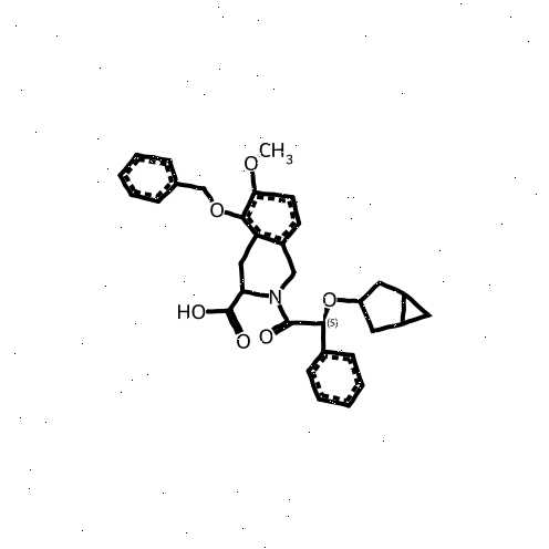 COc1ccc2c(c1OCc1ccccc1)CC(C(=O)O)N(C(=O)[C@@H](OC1CC3CC3C1)c1ccccc1)C2